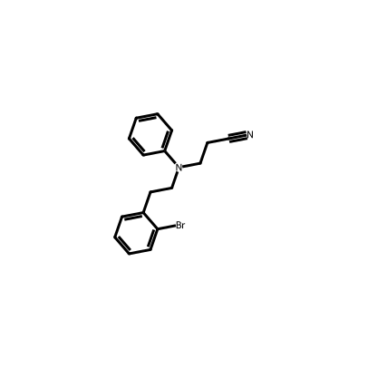 N#CCCN(CCc1ccccc1Br)c1ccccc1